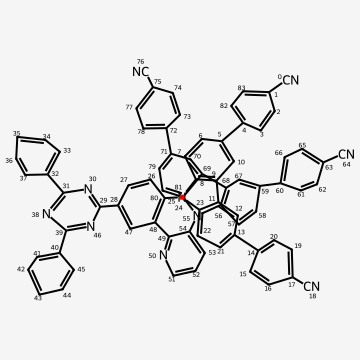 N#Cc1ccc(-c2ccc3c(c2)c2cc(-c4ccc(C#N)cc4)ccc2n3-c2ccc(-c3nc(-c4ccccc4)nc(-c4ccccc4)n3)cc2-c2ncccc2-n2c3ccc(-c4ccc(C#N)cc4)cc3c3cc(-c4ccc(C#N)cc4)ccc32)cc1